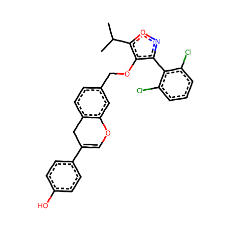 CC(C)c1onc(-c2c(Cl)cccc2Cl)c1OCc1ccc2c(c1)OC=C(c1ccc(O)cc1)C2